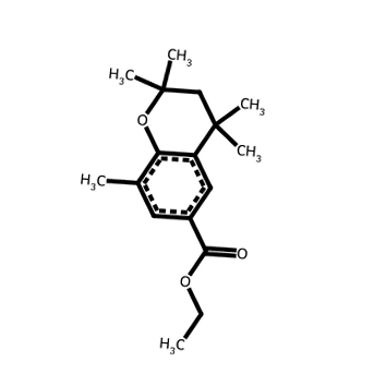 CCOC(=O)c1cc(C)c2c(c1)C(C)(C)CC(C)(C)O2